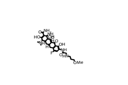 COCCCNCC(=O)Nc1cc(F)c2c(c1O)C(=O)C1=C(O)[C@]3(O)C(=N)C(C(N)=O)=C(O)[C@@H](N(C)C)[C@@H]3C[C@@H]1C2